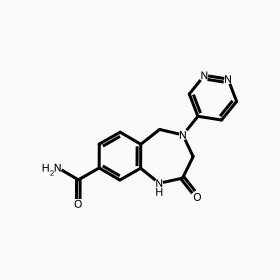 NC(=O)c1ccc2c(c1)NC(=O)CN(c1ccnnc1)C2